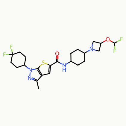 Cc1nn(C2CCC(F)(F)CC2)c2sc(C(=O)NC3CCC(N4CC(OC(F)F)C4)CC3)cc12